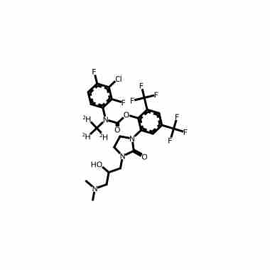 [2H]C([2H])([2H])N(C(=O)Oc1c(N2CCN(CC(O)CN(C)C)C2=O)cc(C(F)(F)F)cc1C(F)(F)F)c1ccc(F)c(Cl)c1F